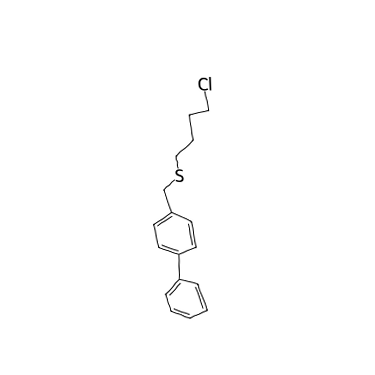 ClCCCCSCc1ccc(-c2ccccc2)cc1